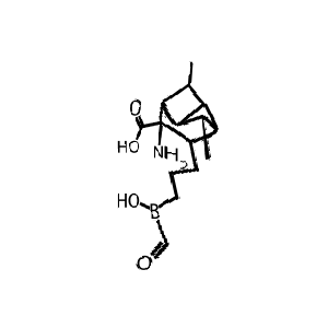 CC1C2C3C(CCCB(O)C=O)C(N)(C(=O)O)C1C2[C@H]3C